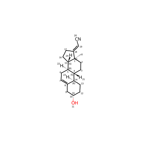 C[C@]12CC[C@H]3[C@@H](CC=C4C[C@@H](O)CC[C@@H]43)[C@@H]1CCC2=CC#N